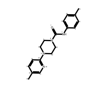 Cc1ccc(NC(=O)N2CCN(c3ccc(C)cn3)CC2)cc1